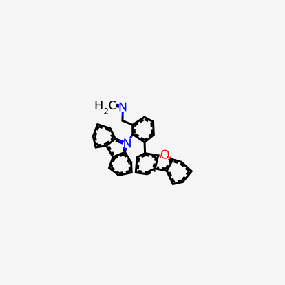 C=NCc1cccc(-c2cccc3c2oc2ccccc23)c1-n1c2ccccc2c2ccccc21